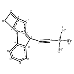 CC(C)[Si](C#CC1=c2sc3c(c2-c2ccccc21)CC=3)(C(C)C)C(C)C